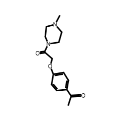 CC(=O)c1ccc(OCC(=O)N2CCN(C)CC2)cc1